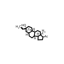 C=C[C@@]1(O)CC[C@@]2(C)[C@@H](CC[C@@H]3[C@@H]2CC[C@]2(C)[C@@H](C(C)=O)CC[C@@H]32)C1